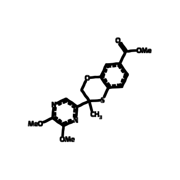 COC(=O)c1ccc2c(c1)OCC(C)(c1cnc(OC)c(OC)n1)S2